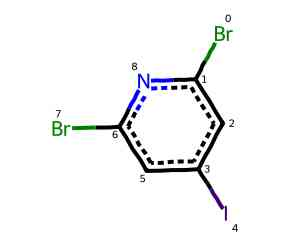 Brc1cc(I)cc(Br)n1